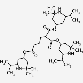 CC(C)C1CC(OC(=O)CCCC(C(=O)OC2CC(C(C)C)NC(C)(C)C2)C(=O)OC2CC(C(C)C)NC(C)(C)C2)CC(C)(C)N1